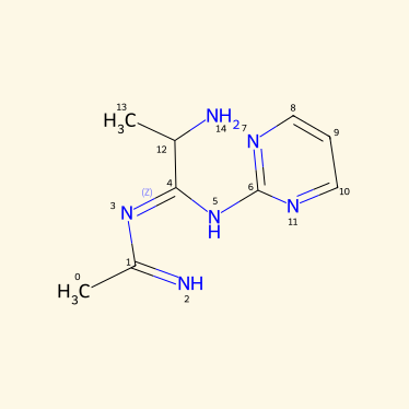 CC(=N)/N=C(\Nc1ncccn1)C(C)N